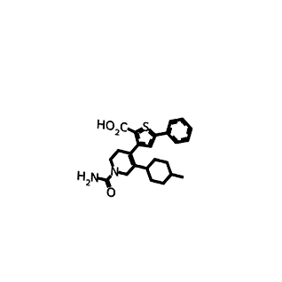 CC1CCC(C2=C(c3cc(-c4ccccc4)sc3C(=O)O)CCN(C(N)=O)C2)CC1